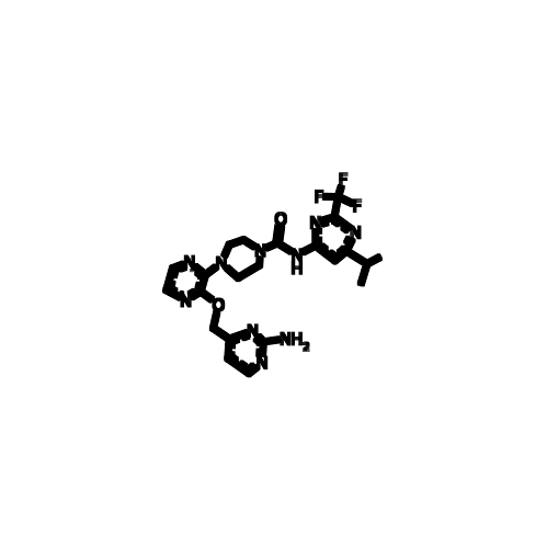 CC(C)c1cc(NC(=O)N2CCN(c3nccnc3OCc3ccnc(N)n3)CC2)nc(C(F)(F)F)n1